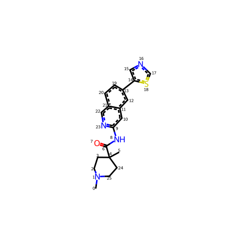 CN1CCC(C)(C(=O)Nc2cc3cc(-c4cncs4)ccc3cn2)CC1